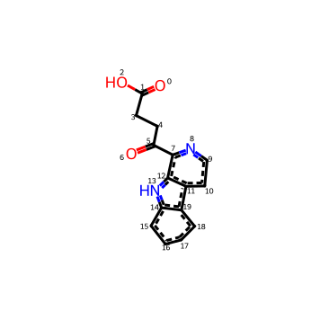 O=C(O)CCC(=O)c1nccc2c1[nH]c1ccccc12